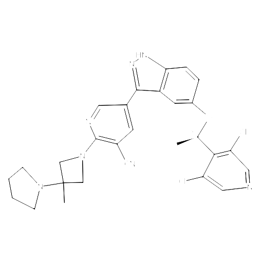 C[C@@H](Oc1ccc2[nH]nc(-c3cnc(N4CC(C)(N5CCCC5)C4)c(C#N)c3)c2c1)c1c(Cl)cncc1Cl